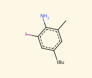 Cc1cc(C(C)(C)C)cc(I)c1N